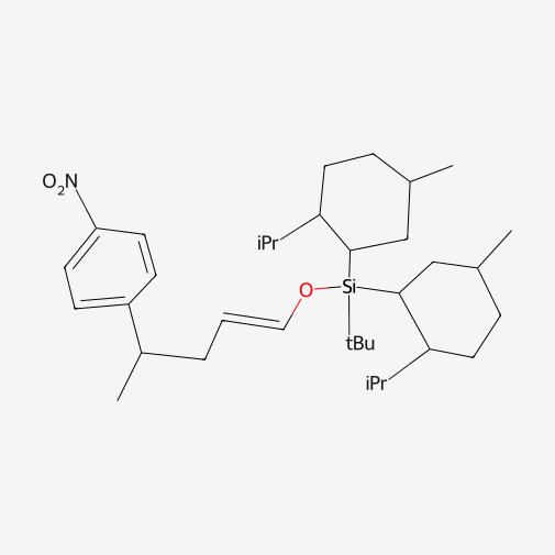 CC1CCC(C(C)C)C([Si](OC=CCC(C)c2ccc([N+](=O)[O-])cc2)(C2CC(C)CCC2C(C)C)C(C)(C)C)C1